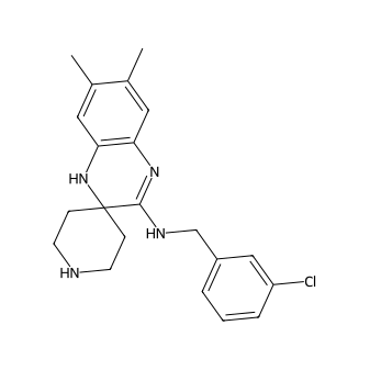 Cc1cc2c(cc1C)NC1(CCNCC1)C(NCc1cccc(Cl)c1)=N2